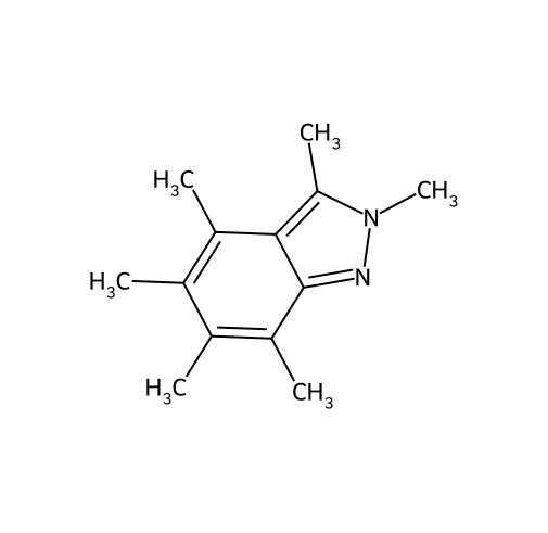 Cc1c(C)c(C)c2c(C)n(C)nc2c1C